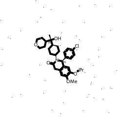 COc1cc2c(cc1OC(C)C)[C@H](c1ccc(Cl)cc1)N([C@H]1CC[C@H]([C@@](C)(O)C3CCOCC3)CC1)C(=O)C2